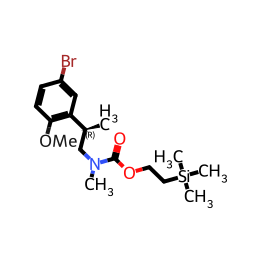 COc1ccc(Br)cc1[C@@H](C)CN(C)C(=O)OCC[Si](C)(C)C